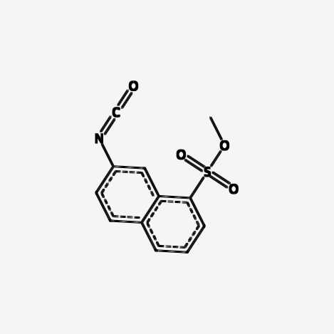 COS(=O)(=O)c1cccc2ccc(N=C=O)cc12